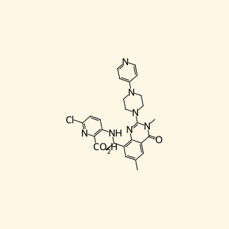 Cc1cc([C@@H](C)Nc2ccc(Cl)nc2C(=O)O)c2nc(N3CCN(c4ccncc4)CC3)n(C)c(=O)c2c1